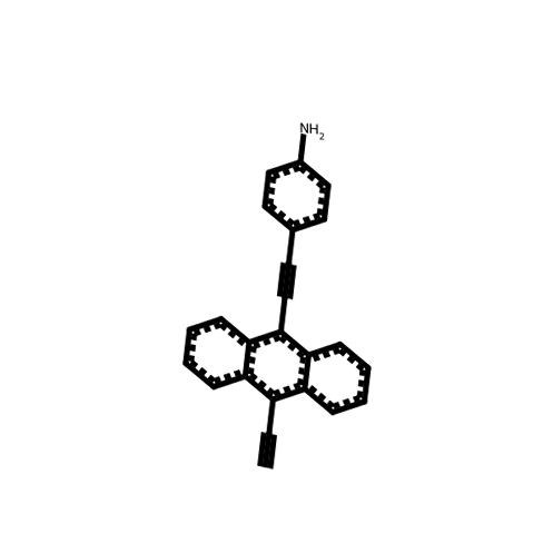 C#Cc1c2ccccc2c(C#Cc2ccc(N)cc2)c2ccccc12